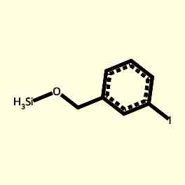 [SiH3]OCc1cccc(I)c1